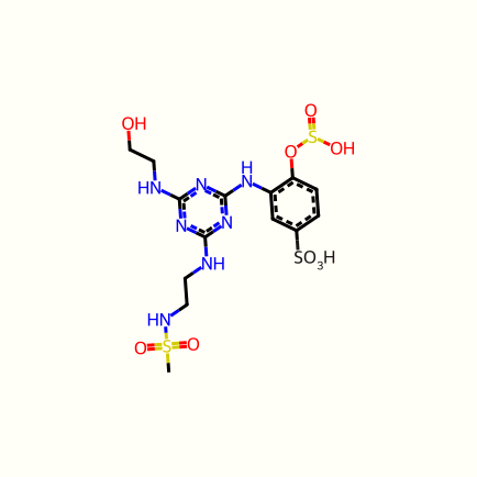 CS(=O)(=O)NCCNc1nc(NCCO)nc(Nc2cc(S(=O)(=O)O)ccc2OS(=O)O)n1